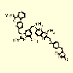 CCCc1nc2c(C)cc(CN(C)c3ccc4nc(COc5ccc(CC6SC(=O)NC6=O)cc5)n(C)c4n3)cc2n1Cc1ccc(-c2ccccc2C(=O)OC)cc1